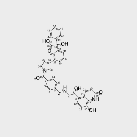 O=C(c1ccc(CNCC(O)c2ccc(O)c3[nH]c(=O)ccc23)cc1)N1CC=C(c2cccc(C(O)(C(=O)O)c3ccccc3)c2)C1